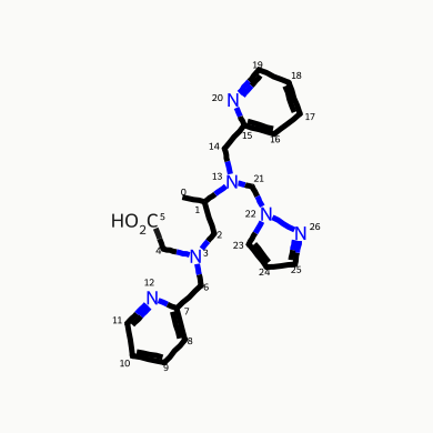 CC(CN(CC(=O)O)Cc1ccccn1)N(Cc1ccccn1)Cn1cccn1